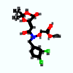 CC(C)(C)OC(=O)CON(Cc1ccc(Cl)c(Cl)c1)C(=O)C=C1OC(C)(C)OC1=O